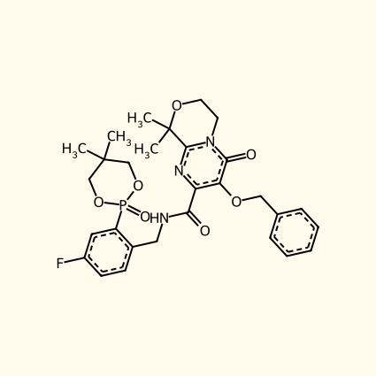 CC1(C)COP(=O)(c2cc(F)ccc2CNC(=O)c2nc3n(c(=O)c2OCc2ccccc2)CCOC3(C)C)OC1